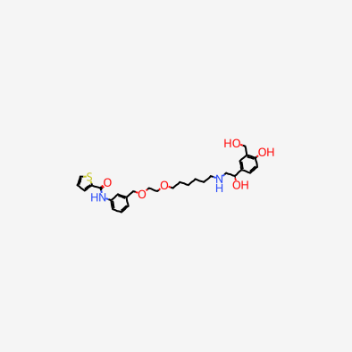 O=C(Nc1cccc(COCCOCCCCCCNC[C@H](O)c2ccc(O)c(CO)c2)c1)c1cccs1